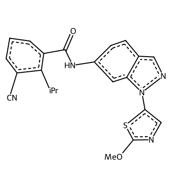 COc1ncc(-n2ncc3ccc(NC(=O)c4cccc(C#N)c4C(C)C)cc32)s1